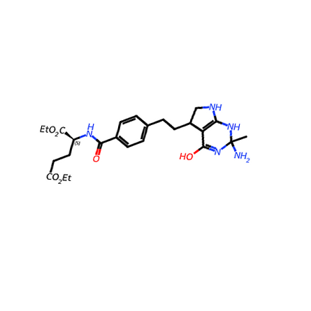 CCOC(=O)CC[C@H](NC(=O)c1ccc(CCC2CNC3=C2C(O)=NC(C)(N)N3)cc1)C(=O)OCC